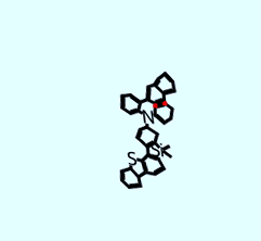 C[Si]1(C)C2=C(C=CC(N(C3=CCCC=C3)c3ccccc3-c3ccc4ccccc4c3)C2)c2c1ccc1c2SC2C=CC=CC12